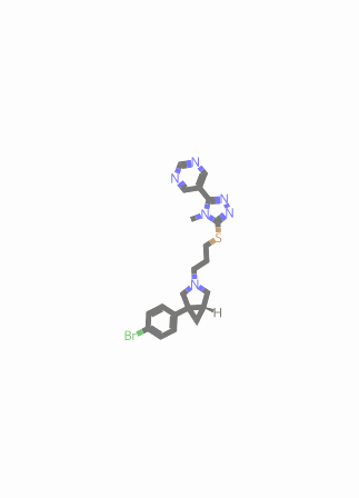 Cn1c(SCCCN2C[C@@H]3CC3(c3ccc(Br)cc3)C2)nnc1-c1cncnc1